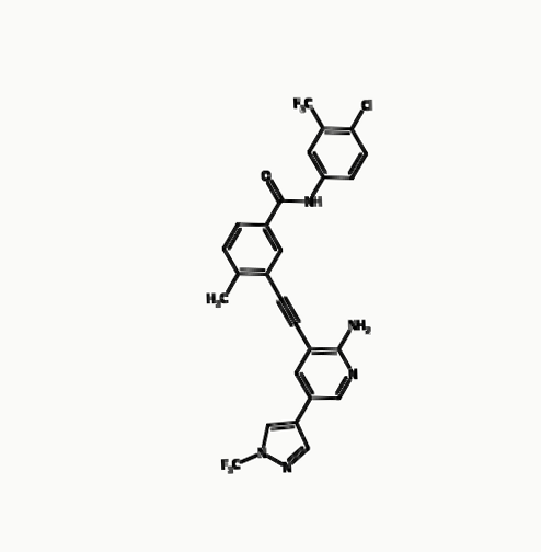 Cc1ccc(C(=O)Nc2ccc(Cl)c(C(F)(F)F)c2)cc1C#Cc1cc(-c2cnn(C(F)(F)F)c2)cnc1N